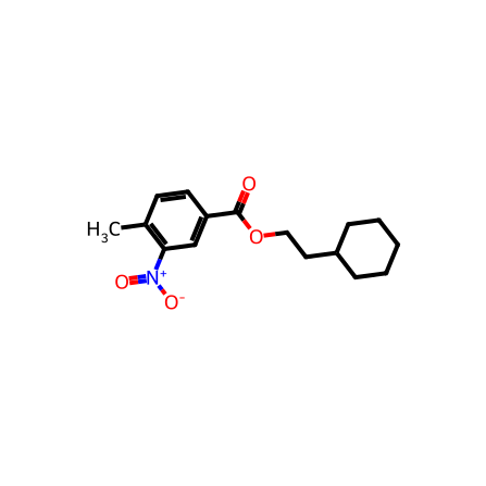 Cc1ccc(C(=O)OCCC2CCCCC2)cc1[N+](=O)[O-]